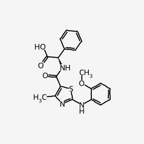 COc1ccccc1Nc1nc(C)c(C(=O)N[C@@H](C(=O)O)c2ccccc2)s1